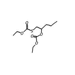 CCCC(CSC(=O)OCC)OC(=O)OCC